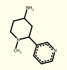 CN1CCC(N)CC1c1cccnc1